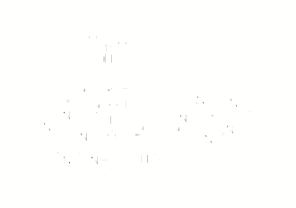 Nc1nc2c(ncn2[C@@H]2O[C@H](CO[PH](=O)O)[C@@H](O)[C@H]2OP(=O)(O)OC[C@H]2O[C@@H](n3cnc4c(N)ncnc43)[C@H](O)[C@@H]2O)c(=S)[nH]1